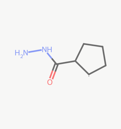 NNC(=O)C1[CH]CCC1